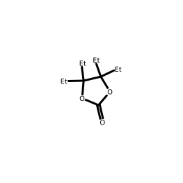 CCC1(CC)OC(=O)OC1(CC)CC